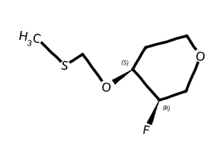 CSCO[C@H]1CCOC[C@H]1F